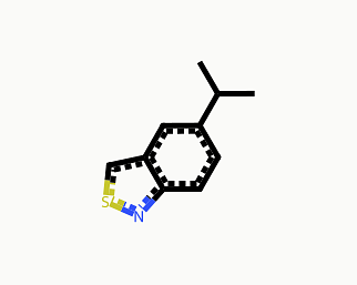 CC(C)c1ccc2nscc2c1